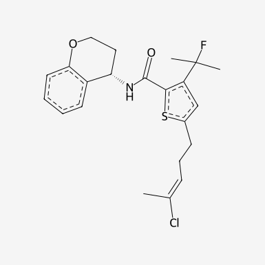 C/C(Cl)=C\CCc1cc(C(C)(C)F)c(C(=O)N[C@H]2CCOc3ccccc32)s1